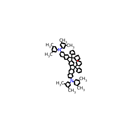 Cc1cc(C)cc(N(c2cc(C)cc(C)c2)c2ccc3cc4c(cc3c2)C(c2ccccc2)(c2ccccc2)c2cc3c(cc2-4)-c2cc4ccc(N(c5cc(C)cc(C)c5)c5cc(C)cc(C)c5)cc4cc2C3(c2ccccc2)c2ccccc2)c1